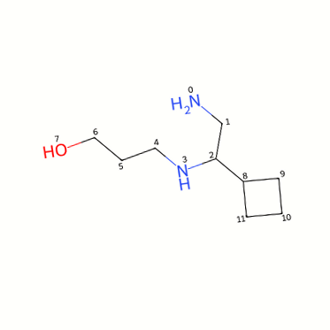 NCC(NCCCO)C1CCC1